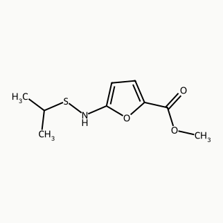 COC(=O)c1ccc(NSC(C)C)o1